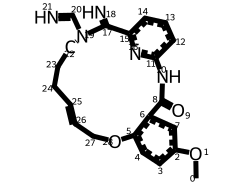 COc1ccc2c(c1)C(=O)Nc1cccc(n1)C(=N)N(C=N)CCC/C=C/CO2